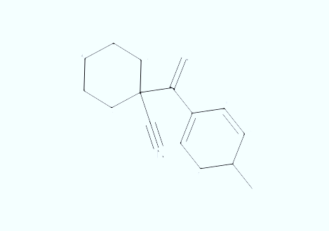 C=C(C1=CCC(C)C=C1)C1(C#N)CCCCC1